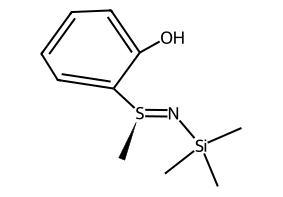 C[S@](=N[Si](C)(C)C)c1ccccc1O